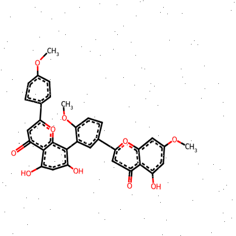 COc1ccc(-c2cc(=O)c3c(O)cc(O)c(-c4cc(-c5cc(=O)c6c(O)cc(OC)cc6o5)ccc4OC)c3o2)cc1